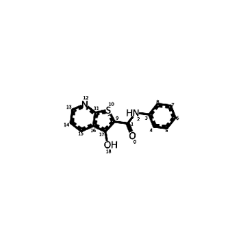 O=C(Nc1ccccc1)c1sc2ncccc2c1O